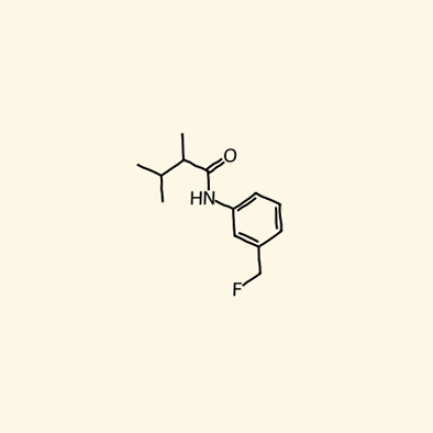 CC(C)C(C)C(=O)Nc1cccc(CF)c1